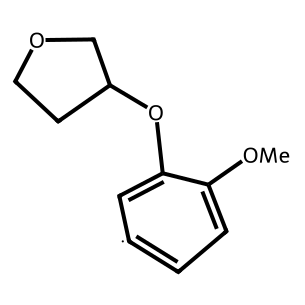 COc1cc[c]cc1OC1CCOC1